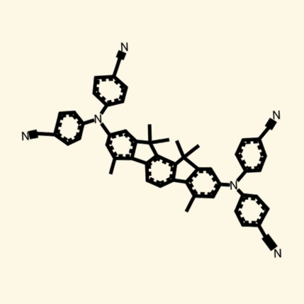 Cc1cc(N(c2ccc(C#N)cc2)c2ccc(C#N)cc2)cc2c1-c1ccc3c(c1C2(C)C)C(C)(C)c1cc(N(c2ccc(C#N)cc2)c2ccc(C#N)cc2)cc(C)c1-3